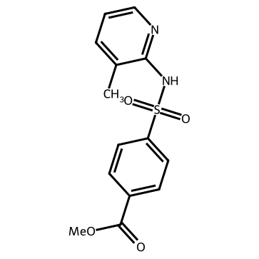 COC(=O)c1ccc(S(=O)(=O)Nc2ncccc2C)cc1